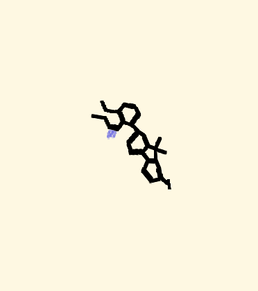 CC/C=C\c1c(CC)cccc1-c1ccc2c(c1)C(C)(C)c1cc(I)ccc1-2